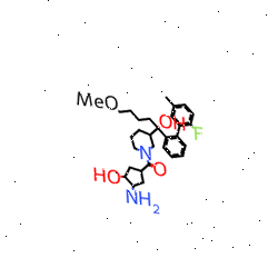 COCCCCC(O)(c1ccccc1-c1cc(C)ccc1F)C1CCCN(C(=O)C2CC(N)C(O)C2)C1